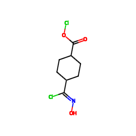 O=C(OCl)C1CCC(/C(Cl)=N/O)CC1